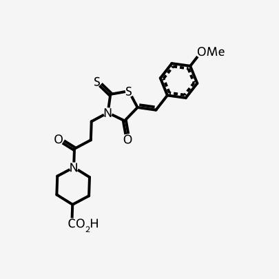 COc1ccc(/C=C2\SC(=S)N(CCC(=O)N3CCC(C(=O)O)CC3)C2=O)cc1